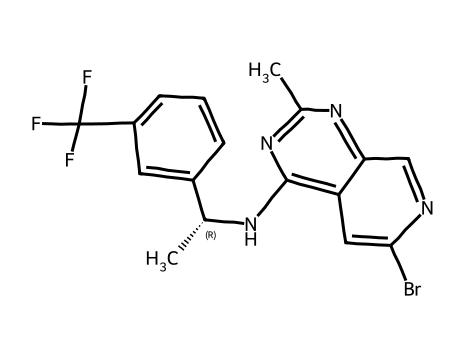 Cc1nc(N[C@H](C)c2cccc(C(F)(F)F)c2)c2cc(Br)ncc2n1